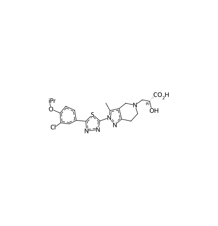 Cc1c2c(nn1-c1nnc(-c3ccc(OC(C)C)c(Cl)c3)s1)CCN(C[C@@H](O)C(=O)O)C2